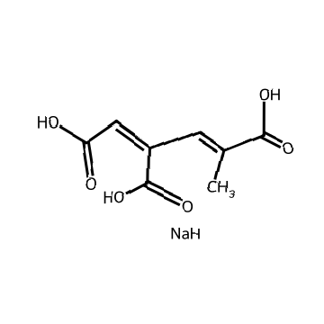 CC(=CC(=CC(=O)O)C(=O)O)C(=O)O.[NaH]